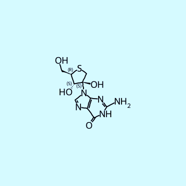 Nc1nc2c(ncn2[C@@]2(O)CS[C@H](CO)[C@H]2O)c(=O)[nH]1